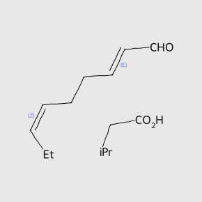 CC(C)CC(=O)O.CC/C=C\CC/C=C/C=O